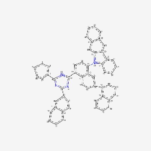 c1ccc(-c2nc(-c3ccc4ccccc4c3)nc(-c3ccc(-n4c5ccccc5c5cc6ccccc6cc54)c4cc(-c5cccc6ccccc56)ccc34)n2)cc1